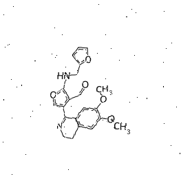 COc1cc2c(cc1OC)C(c1coc(NCc3ccco3)c1C=O)=NCC2